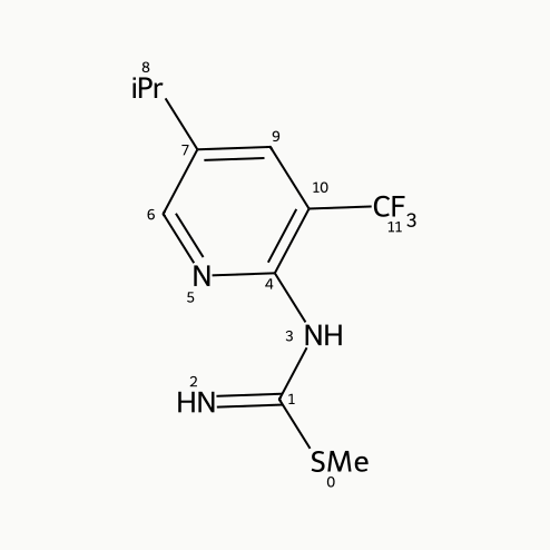 CSC(=N)Nc1ncc(C(C)C)cc1C(F)(F)F